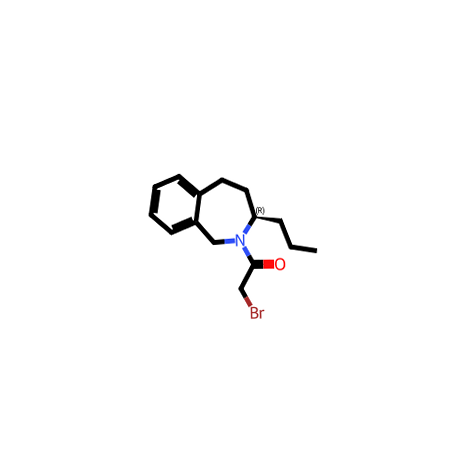 CCC[C@@H]1CCc2ccccc2CN1C(=O)CBr